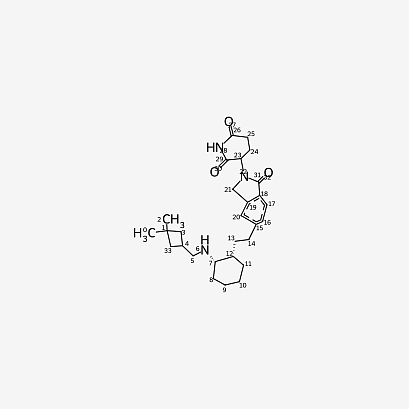 CC1(C)CC(CN[C@H]2CCCC[C@H]2CCc2ccc3c(c2)CN(C2CCC(=O)NC2=O)C3=O)C1